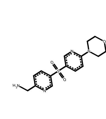 NCc1ccc(S(=O)(=O)c2ccc(N3CCOCC3)nc2)cn1